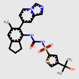 Cc1cc2c(c(NC(=O)NS(=O)(=O)c3cc(C(C)(C)O)cs3)c1-c1ccn3cncc3c1)CCC2